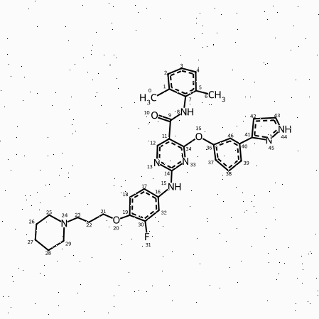 Cc1cccc(C)c1NC(=O)c1cnc(Nc2ccc(OCCCN3CCCCC3)c(F)c2)nc1Oc1cccc(-c2cc[nH]n2)c1